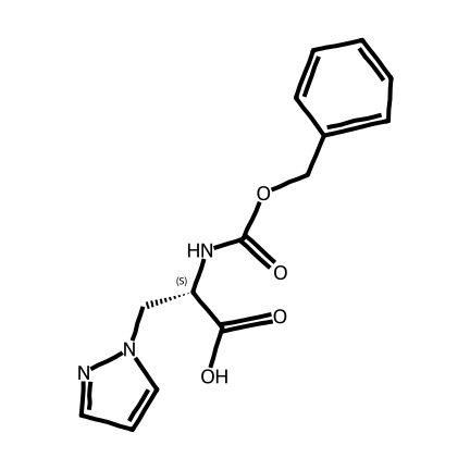 O=C(N[C@@H](Cn1cccn1)C(=O)O)OCc1ccccc1